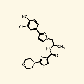 CC(Cn1ccc(-c2ccc(C#N)c(Cl)c2)n1)NC(=O)c1csc(N2CCOCC2)n1